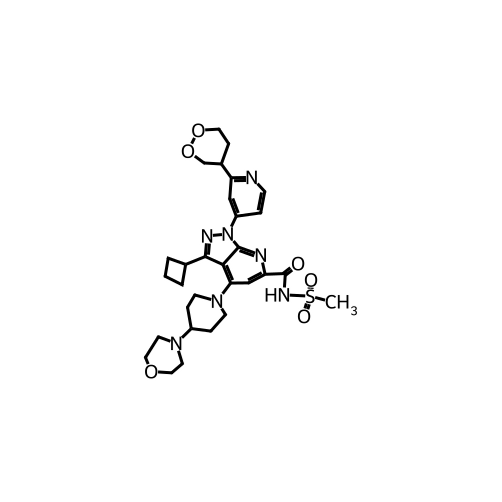 CS(=O)(=O)NC(=O)c1cc(N2CCC(N3CCOCC3)CC2)c2c(C3CCC3)nn(-c3ccnc(C4CCOOC4)c3)c2n1